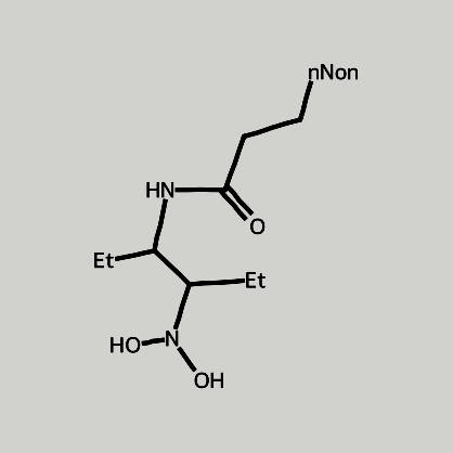 CCCCCCCCCCCC(=O)NC(CC)C(CC)N(O)O